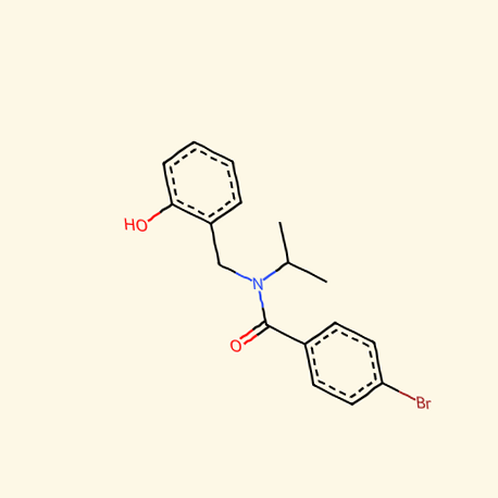 CC(C)N(Cc1ccccc1O)C(=O)c1ccc(Br)cc1